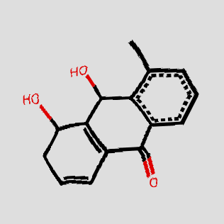 Cc1cccc2c1C(O)C1=C(C=CCC1O)C2=O